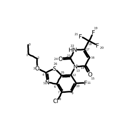 CCCOc1nc2c(Cl)cc(F)c(-n3c(=O)cc(C(F)(F)F)[nH]c3=O)c2s1